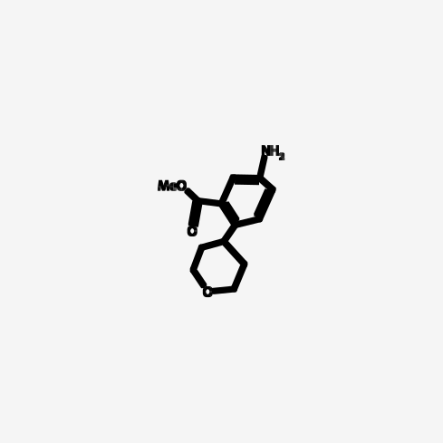 COC(=O)c1cc(N)ccc1C1CCOCC1